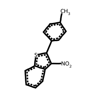 Cc1ccc(-c2sc3ccccc3c2[N+](=O)[O-])cc1